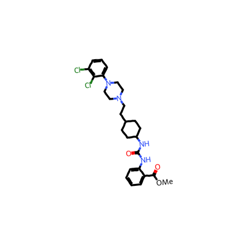 COC(=O)c1ccccc1NC(=O)NC1CCC(CCN2CCN(c3cccc(Cl)c3Cl)CC2)CC1